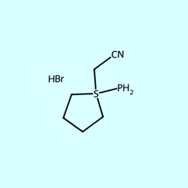 Br.N#CCS1(P)CCCC1